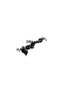 COc1cc2c(Oc3ccc(N(C(=O)C4(C(N)=O)CCC4)c4ccc(F)cc4)cc3F)ccnc2cc1OCCCN1CCN(C)CC1